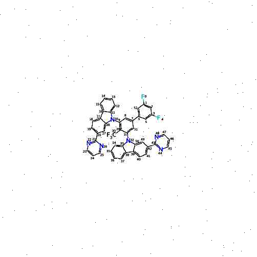 Fc1cc(F)cc(-c2cc(-n3c4ccccc4c4ccc(-c5ncccn5)cc43)c(C(F)(F)F)c(-n3c4ccccc4c4ccc(-c5ncccn5)cc43)c2)c1